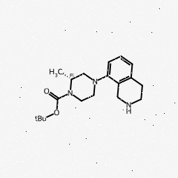 C[C@@H]1CN(c2cccc3c2CNCC3)CCN1C(=O)OC(C)(C)C